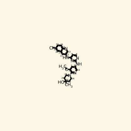 COc1cc(Nc2nccc(Nc3cnc4ccc(Cl)cc4c3)n2)cnc1N1CCC(C)(O)CC1